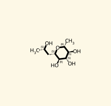 C[C@H](O)C[C@@H]1O[C@H](C)[C@@H](O)[C@H](O)[C@H]1O